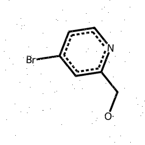 [O]Cc1cc(Br)ccn1